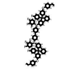 C=Cc1ccc(Oc2ccc(C3(c4ccc(F)cc4)c4ccccc4-c4ccc(N(c5ccc(-c6ccc(N(c7ccc8c(c7)C(c7ccc(F)cc7)(c7ccc(Oc9ccc(C=C)cc9)cc7)c7ccccc7-8)c7ccc(F)c(F)c7F)cc6)cc5)c5ccc(F)c(F)c5F)cc43)cc2)cc1